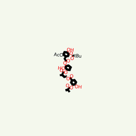 C=C(C)C(=O)Oc1cc(C(=O)OCC=C(C)C(=O)Oc2cccc(OC(=O)Cc3cc(OC(=O)C(C)(C)C)c(O)cc3OC(C)=O)c2O)ccc1O